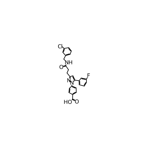 O=C(CCc1cc(-c2cccc(F)c2)n(-c2ccc(C(=O)O)cc2)n1)NCc1cccc(Cl)c1